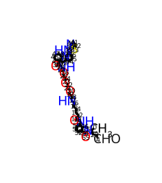 CC(CCC=O)N1Cc2c(NC(=O)CCCCCNCCOCCOCCOCNC(=O)C3(Cc4cccc(Nc5nccs5)n4)CCCCC3)cccc2C1=O